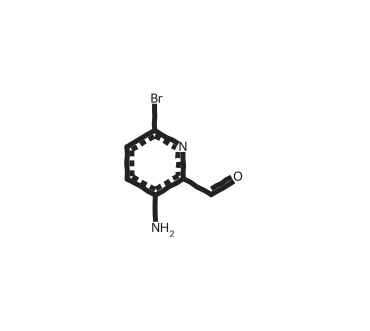 Nc1ccc(Br)nc1C=O